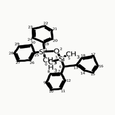 C[Si](O[Si](C)(C)C(c1ccccc1)c1ccccc1)(c1ccccc1)c1ccccc1